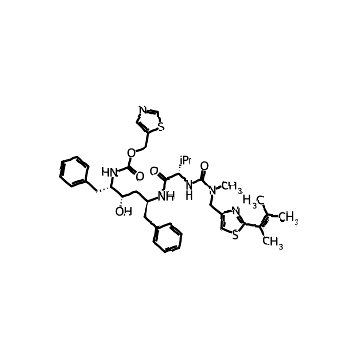 CC(C)=C(C)c1nc(CN(C)C(=O)N[C@H](C(=O)N[C@@H](Cc2ccccc2)C[C@H](O)[C@H](Cc2ccccc2)NC(=O)OCc2cncs2)C(C)C)cs1